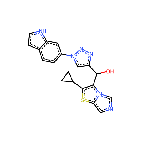 OC(c1cn(-c2ccc3cc[nH]c3c2)nn1)c1c(C2CC2)sc2cncn12